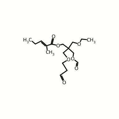 CC/C=C(\C)C(=O)OCC(COC=O)(COCC)COCCC=O